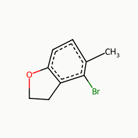 Cc1ccc2c(c1Br)CCO2